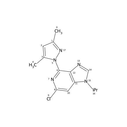 Cc1cc(C)n(-c2nc(Cl)cc3c2ncn3C(C)C)n1